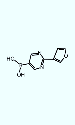 OB(O)c1cnc(-c2ccoc2)nc1